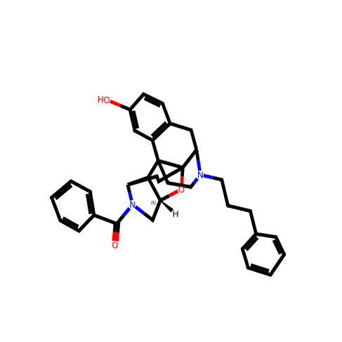 O=C(c1ccccc1)N1C[C@H]2OC34CCC1C2C31CCN(CCCc2ccccc2)C4Cc2ccc(O)cc21